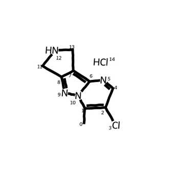 Cc1c(Cl)cnc2c3c(nn12)CNC3.Cl